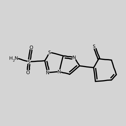 NS(=O)(=O)c1nn2cc(C3=CC=CCC3=S)nc2s1